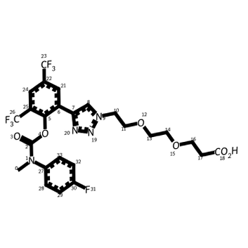 CN(C(=O)Oc1c(-c2cn(CCOCCOCCC(=O)O)nn2)cc(C(F)(F)F)cc1C(F)(F)F)c1ccc(F)cc1